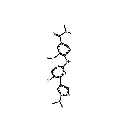 COc1cc(C(=O)N(C)C)ccc1Nc1ncc(Cl)c(-c2cnn(C(C)C)c2)n1